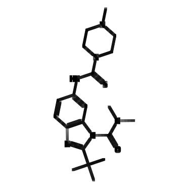 CN1CCN(C(=S)Nc2ccc3nc(C(C)(C)C)n(C(=O)N(C)C)c3c2)CC1